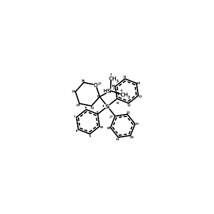 C[SiH](C)C1([Si](c2ccccc2)(c2ccccc2)c2ccccc2)CCCCO1